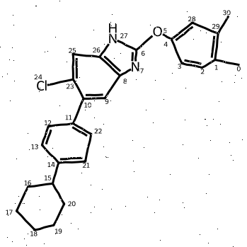 Cc1ccc(Oc2nc3cc(-c4ccc(C5CCCCC5)cc4)c(Cl)cc3[nH]2)cc1C